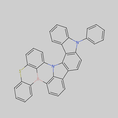 c1ccc(-n2c3ccccc3c3c2ccc2c4cccc5c4n(c23)-c2cccc3c2B5c2ccccc2S3)cc1